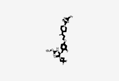 CC(C)c1noc(N2CCC([C@H](C)CCOc3ccc(C[C@H](NC(=O)OC(C)(C)C)C(=O)N4CC(F)(F)C4)c(F)c3)CC2)n1